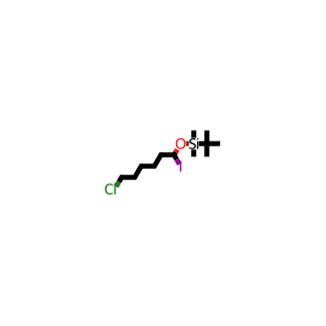 CC(C)(C)[Si](C)(C)OC(I)CCCCCCl